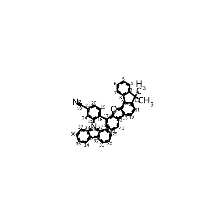 CC1(C)c2ccccc2-c2c1ccc1c2oc2c(-c3ccc(C#N)cc3-n3c4ccccc4c4ccccc43)cccc21